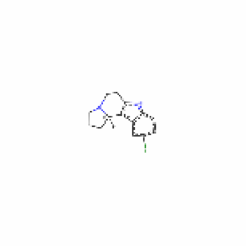 Fc1ccc2[nH]c3c(c2c1)[C@H]1CCCN1CC3